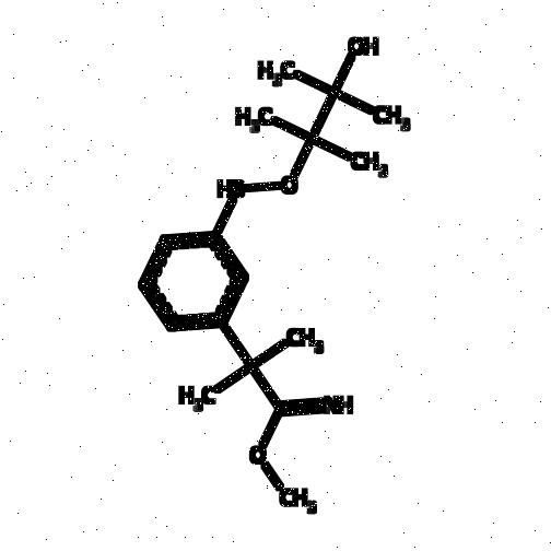 COC(=N)C(C)(C)c1cccc(BOC(C)(C)C(C)(C)O)c1